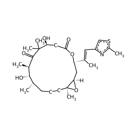 C/C(=C\c1csc(C)n1)[C@@H]1C[C@H]2O[C@@]2(C)CCC[C@H](C)[C@H](O)[C@@H](C)C(=O)C(C)(C)[C@@H](O)CC(=O)O1